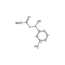 CCCC(CC(=O)OC)c1cccc(O)c1